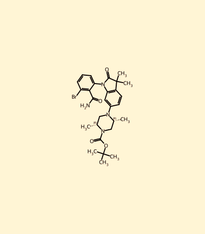 C[C@@H]1CN(c2ccc3c(c2)N(c2cccc(Br)c2C(N)=O)C(=O)C3(C)C)[C@H](C)CN1C(=O)OC(C)(C)C